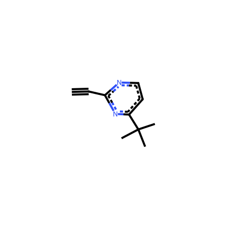 C#Cc1nccc(C(C)(C)C)n1